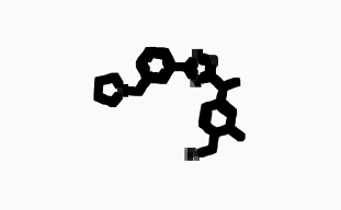 CC(C)CC1C=CC(C(C)c2nc(-c3cccc(CN4CCCC4)c3)no2)=CC1C